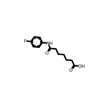 O=C(O)CCCCCC(=O)Nc1ccc(F)cc1